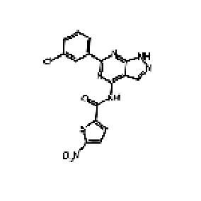 O=C(Nc1nc(-c2cccc(Cl)c2)nc2[nH]ncc12)c1ccc([N+](=O)[O-])s1